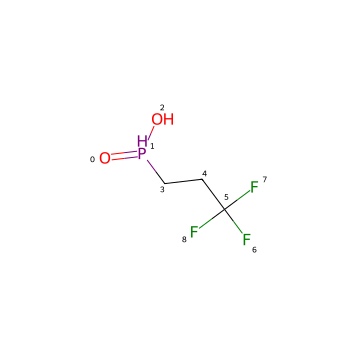 O=[PH](O)CCC(F)(F)F